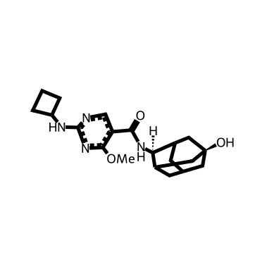 COc1nc(NC2CCC2)ncc1C(=O)N[C@H]1C2CC3CC1C[C@@](O)(C3)C2